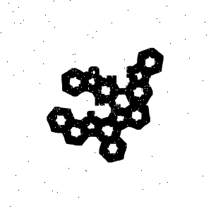 c1ccc2c(c1)ccc1c2sc2c1c1ccccc1c1c3ccccc3n(-c3nc4c(nc3-c3cccc5c3sc3ccccc35)oc3ccccc34)c21